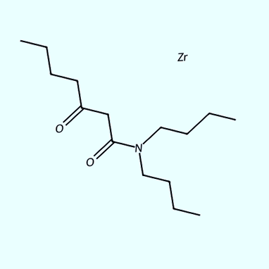 CCCCC(=O)CC(=O)N(CCCC)CCCC.[Zr]